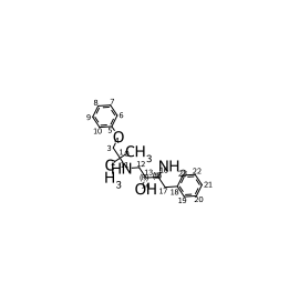 CC(C)(COc1ccccc1)NC[C@@H](O)[C@@H](N)Cc1ccccc1